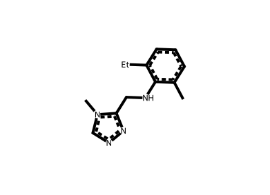 CCc1cccc(C)c1NCc1nncn1C